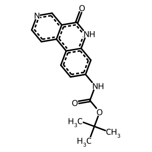 CC(C)(C)OC(=O)Nc1ccc2c(c1)[nH]c(=O)c1cnccc12